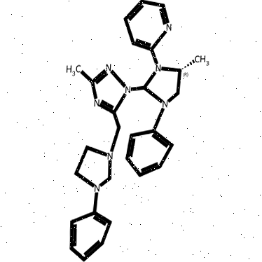 Cc1nc(CN2CCN(c3ccccc3)C2)n(C2N(c3ccccc3)C[C@@H](C)N2c2ccccn2)n1